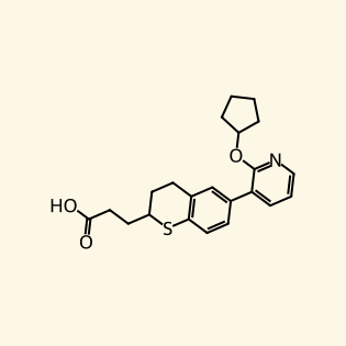 O=C(O)CCC1CCc2cc(-c3cccnc3OC3CCCC3)ccc2S1